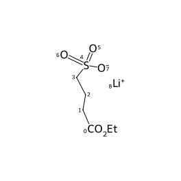 CCOC(=O)CCCS(=O)(=O)[O-].[Li+]